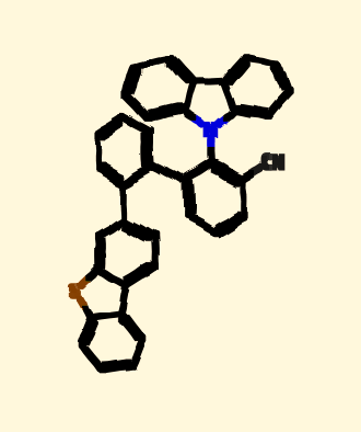 N#Cc1cccc(-c2ccccc2-c2ccc3c(c2)sc2ccccc23)c1-n1c2ccccc2c2ccccc21